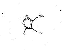 CC(C)(C)c1nsc(Cl)c1C#N